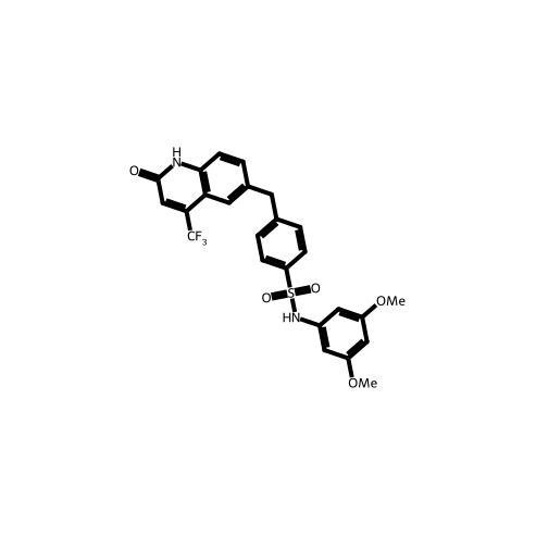 COc1cc(NS(=O)(=O)c2ccc(Cc3ccc4[nH]c(=O)cc(C(F)(F)F)c4c3)cc2)cc(OC)c1